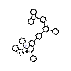 NC(/C(=C1\NC(c2ccccc2)=Cc2cc(-c3ccc(-c4cc(-c5ccccc5)nc(-c5cccc(-n6c7ccccc7c7ccccc76)c5)c4)cc3)ccc21)c1ccccc1)c1ccccc1